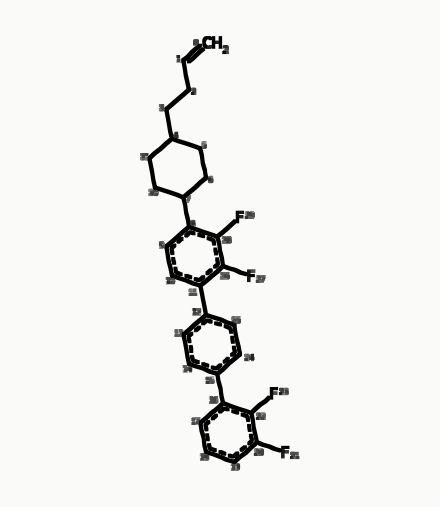 C=CCCC1CCC(c2ccc(-c3ccc(-c4cccc(F)c4F)cc3)c(F)c2F)CC1